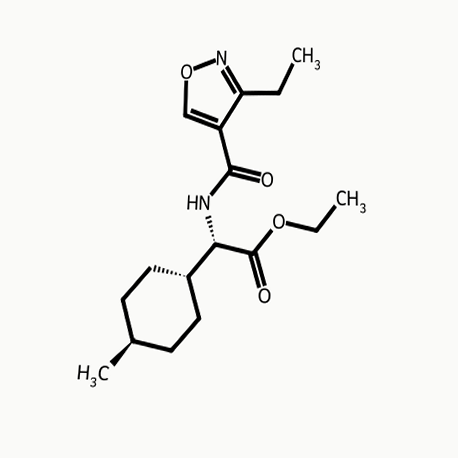 CCOC(=O)[C@@H](NC(=O)c1conc1CC)[C@H]1CC[C@H](C)CC1